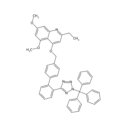 CCc1cc(OCc2ccc(-c3ccccc3-c3nnn(C(c4ccccc4)(c4ccccc4)c4ccccc4)n3)cc2)c2c(OC)cc(OC)cc2n1